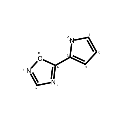 C1=C[N]C(c2ncno2)=C1